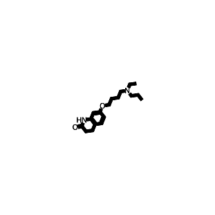 CCCN(CC)CCCCOc1ccc2c(c1)NC(=O)CC2